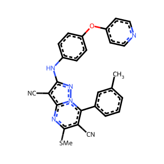 CSc1nc2c(C#N)c(Nc3ccc(Oc4ccncc4)cc3)nn2c(-c2cccc(C)c2)c1C#N